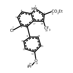 CCOC(=O)c1[nH]c2ccc(Cl)c(-c3ccc(OC(C)C)cc3)c2c1C(F)(F)F